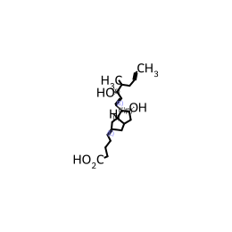 CC#CCC(C)[C@H](O)/C=C/[C@H]1[C@H](O)CC2C/C(=C\CCCC(=O)O)C[C@@H]21